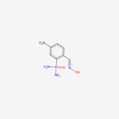 NP(N)(=O)c1cc([N+](=O)[O-])ccc1/C=N/O